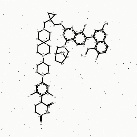 CCc1c(F)ccc2cc(O)cc(-c3ncc4c(N5CC6CCC(C5)N6)nc(OCC5(CN6CCC7(CC6)CCN(C6CCN(c8cc(F)c(C9CCC(=O)NC9=O)c(F)c8)CC6)CC7)CC5)nc4c3F)c12